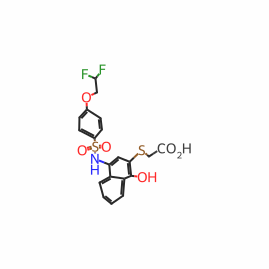 O=C(O)CSc1cc(NS(=O)(=O)c2ccc(OCC(F)F)cc2)c2ccccc2c1O